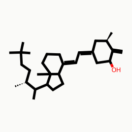 C=C1C(O)C/C(=C\C=C2/CCCC3(C)C2CCC3C(C)[C@H](C)CCC(C)(C)C)C[C@H]1C